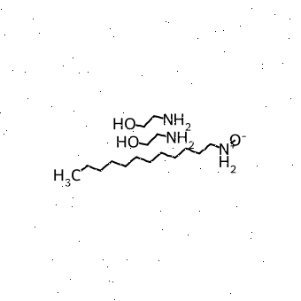 CCCCCCCCCCCC[NH2+][O-].NCCO.NCCO